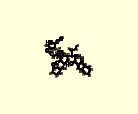 CCC(C)[C@H](NC(=O)c1cc2ccccc2[nH]1)C(=C=O)N[C@@H](CC1CCCCC1)C(=C=O)N[C@H](C=C=O)C[C@@H]1CCNC1=C=O